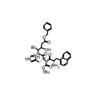 CCC(C)C(NC(=O)[C@@H](Cc1c[nH]cn1)N(C(=O)OC(C)(C)C)C(=O)[C@@H](N)Cc1cccc2ccccc12)C(O)CC(=O)OCc1ccccc1